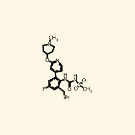 CC(C)Cc1cc(F)cc(-c2ccnc(OC3CCN(C)CC3)c2)c1NC(=O)NS(C)(=O)=O